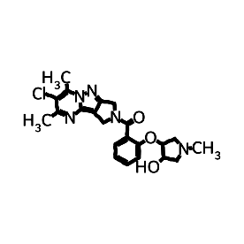 Cc1nc2c3c(nn2c(C)c1Cl)CN(C(=O)c1ccccc1OC1CN(C)CC1O)C3